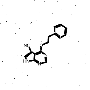 N#Cc1c[nH]c2ncnc(OCCc3ccccc3)c12